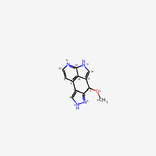 COC1c2n[nH]cc2-c2ccnc3[nH]cc1c23